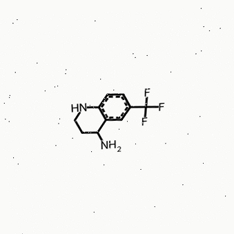 NC1CCNc2ccc(C(F)(F)F)cc21